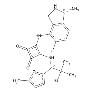 CCC(C)(C)[C@@H](Nc1c(Nc2c(F)ccc3c2CN[C@@H]3C)c(=O)c1=O)c1ccc(C)o1